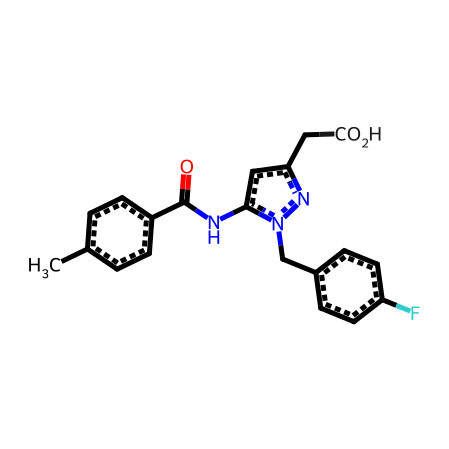 Cc1ccc(C(=O)Nc2cc(CC(=O)O)nn2Cc2ccc(F)cc2)cc1